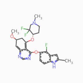 COC1C=c2ncnc(Oc3ccc4[nH]c(C)cc4c3F)c2=C(O[C@H]2CCN(C)CC2(F)F)C1